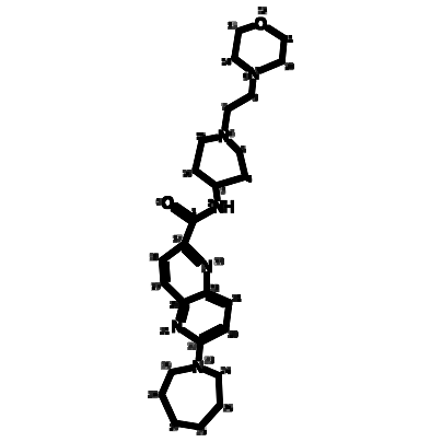 O=C(NC1CCN(CCN2CCOCC2)CC1)c1ccc2nc(N3CCCCCC3)ccc2n1